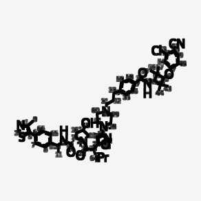 Cc1ncsc1-c1ccc([C@H](C)NC(=O)[C@@H]2C[C@@H](O)CN2C(=O)[C@@H](c2cc(N3CCN(CCCc4ccc(C(=O)N[C@H]5C(C)(C)[C@H](Oc6ccc(C#N)c(Cl)c6)C5(C)C)cc4)CC3)no2)C(C)C)cc1